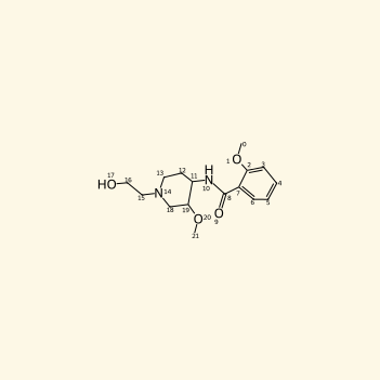 COc1ccccc1C(=O)NC1CCN(CCO)CC1OC